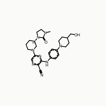 CN1CCN([C@@H]2CCCN(c3cnc(C#N)c(Nc4ccc(N5CCC(CO)CC5)cc4)n3)C2)C1=O